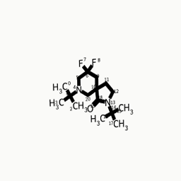 CC(C)(C)N1CC(F)(F)CC2(CCN(C(C)(C)C)C2=O)C1